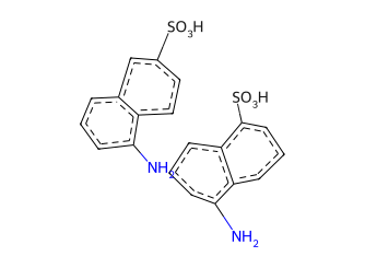 Nc1cccc2c(S(=O)(=O)O)cccc12.Nc1cccc2cc(S(=O)(=O)O)ccc12